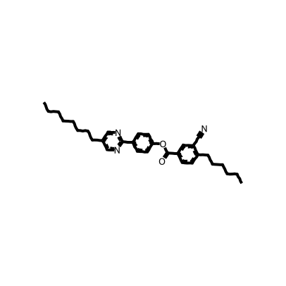 CCCCCCCCc1cnc(-c2ccc(OC(=O)c3ccc(CCCCCC)c(C#N)c3)cc2)nc1